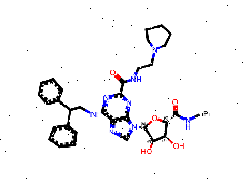 CCCNC(=O)[C@H]1O[C@@H](n2cnc3c(NCC(c4ccccc4)c4ccccc4)nc(C(=O)NCCN4CCCCC4)nc32)[C@H](O)[C@@H]1O